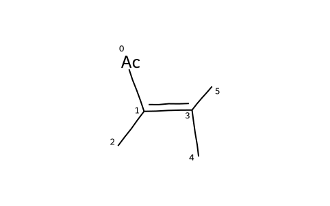 CC(=O)C(C)=C(C)C